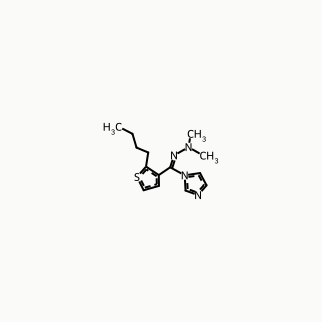 CCCCc1sccc1C(=NN(C)C)n1ccnc1